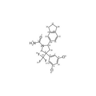 NC(=O)N1CC(c2cc(Cl)cc(Cl)c2)(C(F)(F)F)CC1c1ccc2c(c1)CC[CH]2